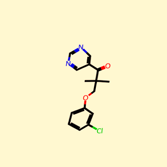 CC(C)(COc1cccc(Cl)c1)C(=O)c1cncnc1